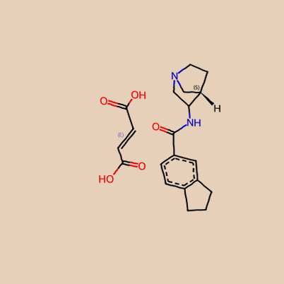 O=C(NC1CN2CC[C@H]1C2)c1ccc2c(c1)CCC2.O=C(O)/C=C/C(=O)O